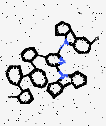 N#Cc1ccc2c(c1)c1ccccc1n2-c1cc(-c2ccccc2-c2ccccc2-c2ccccc2-c2ccccc2C#N)cc(-n2c3ccccc3c3ccccc32)n1